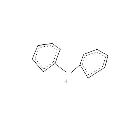 [H-].c1cc[c]([Ga][c]2ccccc2)cc1